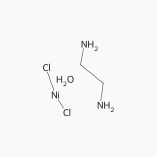 NCCN.O.[Cl][Ni][Cl]